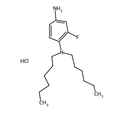 CCCCCCN(CCCCCC)c1ccc(N)cc1F.Cl